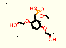 CCOP(=O)(O)Cc1cc(OCCO)ccc1OCCO